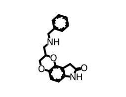 O=C1Cc2c(ccc3c2OC(CNCc2ccccc2)CO3)N1